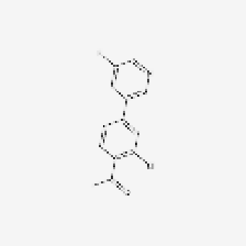 CC(=O)c1ccc(-c2cncc(F)c2)cc1Cl